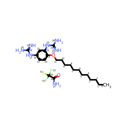 CCCCCCCCCCCCOc1ccc(NC(=N)N)cc1NC(=N)N.NC(=O)C(F)(F)F